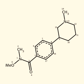 CON(C)C(=O)c1ccc(C2CCCN(C)C2)cc1